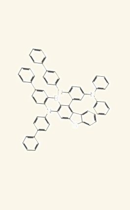 c1ccc(-c2ccc(N3B4c5cc(-c6ccccc6)ccc5N(c5ccc(-c6ccccc6)cc5)c5cc6sc7ccccc7c6c(c54)-c4cc(N(c5ccccc5)c5ccccc5)ccc43)cc2)cc1